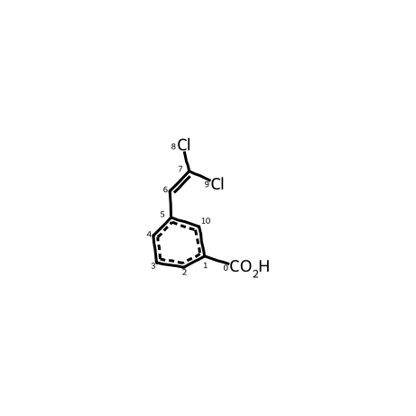 O=C(O)c1cccc(C=C(Cl)Cl)c1